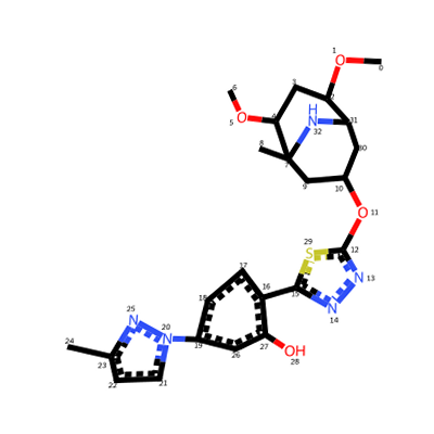 COC1CC(OC)C2(C)CC(Oc3nnc(-c4ccc(-n5ccc(C)n5)cc4O)s3)CC1N2